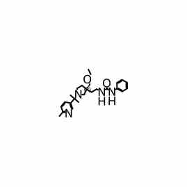 CCOC[C@]1(CCNC(=O)Nc2ccccc2)CCN(C(C)(C)c2ccc(C)nc2)C1